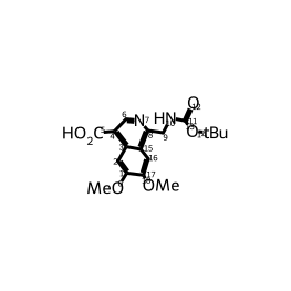 COc1cc2c(C(=O)O)cnc(CNC(=O)OC(C)(C)C)c2cc1OC